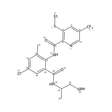 CCSc1cc(C(F)(F)F)cnc1C(=O)Nc1c(C)cc(Cl)cc1C(=O)NC(C)CSC